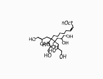 CCCCCCCC/C=C\CCCCCC(CC(O)CO)(CC(O)CO)C(CC(O)CO)(CC(O)CO)C(=O)O